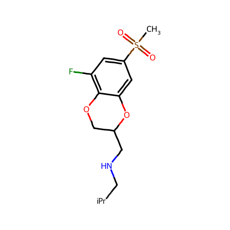 CC(C)CNCC1COc2c(F)cc(S(C)(=O)=O)cc2O1